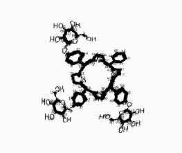 OC[C@H]1O[C@@H](Oc2ccc(-c3c4nc(c(-c5ccc(S[C@@H]6O[C@H](CO)[C@H](O)[C@H](O)[C@@H]6O)cc5)c5ccc([nH]5)c(-c5ccc(O[C@H]6O[C@H](CO)[C@H](O)[C@H](O)[C@@H]6O)cc5)c5nc(c(-c6ccccc6)c6ccc3[nH]6)C=C5)CC4)cc2)[C@@H](O)[C@@H](O)[C@H]1O